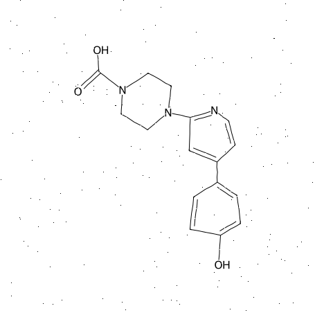 O=C(O)N1CCN(c2cc(-c3ccc(O)cc3)ccn2)CC1